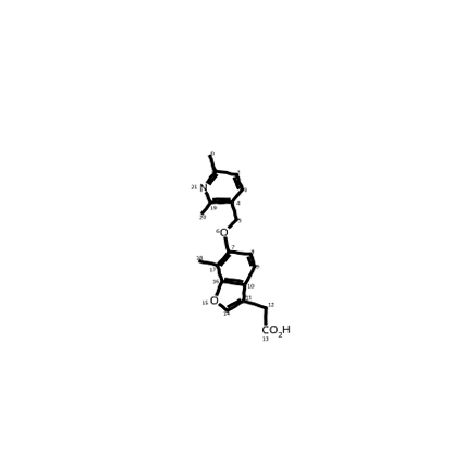 Cc1ccc(COc2ccc3c(CC(=O)O)coc3c2C)c(C)n1